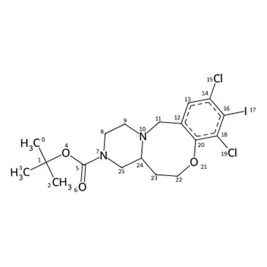 CC(C)(C)OC(=O)N1CCN2Cc3cc(Cl)c(I)c(Cl)c3OCCC2C1